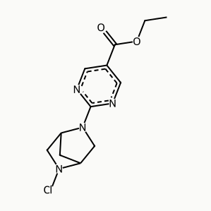 CCOC(=O)c1cnc(N2CC3CC2CN3Cl)nc1